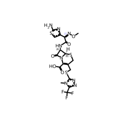 CO/N=C(\C(=O)N[C@@H]1C(=O)N2C(C(=O)O)=C(CSc3nnc(C(F)(F)F)n3C)CS[C@H]12)c1csc(N)n1